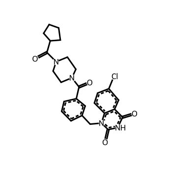 O=C(c1cccc(Cn2c(=O)[nH]c(=O)c3cc(Cl)ccc32)c1)N1CCN(C(=O)C2CCCC2)CC1